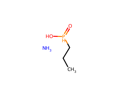 CCC[PH](=O)O.N